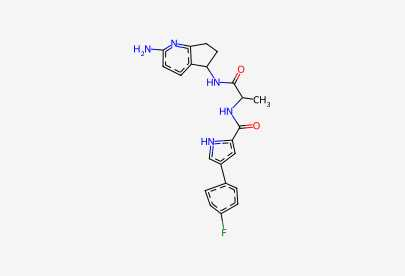 CC(NC(=O)c1cc(-c2ccc(F)cc2)c[nH]1)C(=O)NC1CCc2nc(N)ccc21